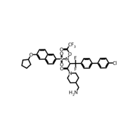 NCC1CCN(C(=O)[C@@H](N(OC(=O)C(F)(F)F)S(=O)(=O)c2ccc3cc(OC4CCCC4)ccc3c2)C(F)(F)c2ccc(-c3ccc(Cl)cc3)cc2)CC1